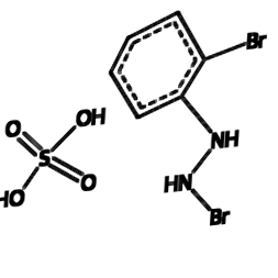 BrNNc1ccccc1Br.O=S(=O)(O)O